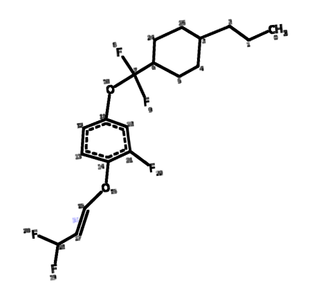 CCCC1CCC(C(F)(F)Oc2ccc(O/C=C/C(F)F)c(F)c2)CC1